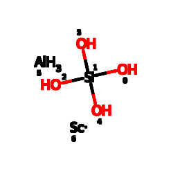 O[Si](O)(O)O.[AlH3].[Sc]